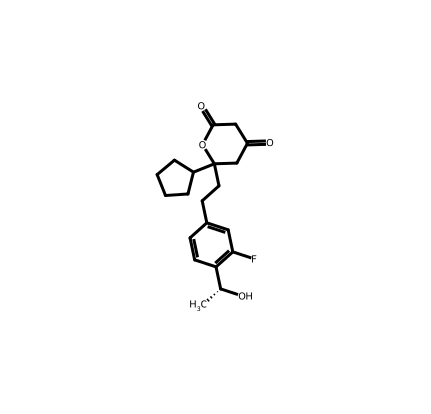 C[C@@H](O)c1ccc(CCC2(C3CCCC3)CC(=O)CC(=O)O2)cc1F